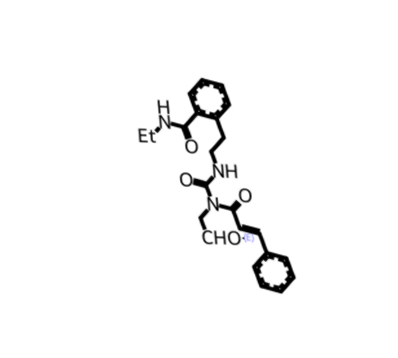 CCNC(=O)c1ccccc1CCNC(=O)N(C[C]=O)C(=O)/C=C/c1ccccc1